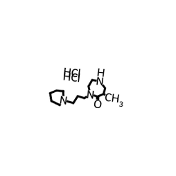 CC1CNCCN(CCCN2CCCCC2)C1=O.Cl.Cl